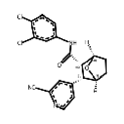 N#Cc1cc([C@@H]2[C@H](C(=O)Nc3ccc(Cl)c(Cl)c3)[C@H]3CC[C@@H]2O3)ccn1